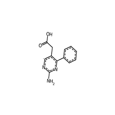 Nc1n[c]c(CC(=O)O)c(-c2ccccc2)n1